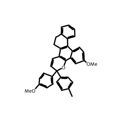 COc1ccc(C2(c3ccc(C)cc3)C=Cc3c4c(c5ccc(OC)cc5c3O2)-c2ccccc2CC4)cc1